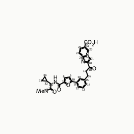 CNC(=O)[C@@H](NC(=O)c1ccc(-c2cccc(CCC(=O)c3cn4cc(C(=O)O)ccc4n3)c2)o1)C1CC1